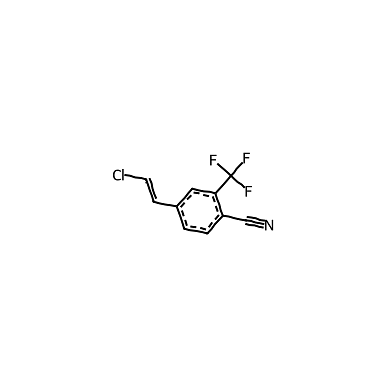 N#Cc1ccc(C=[C]Cl)cc1C(F)(F)F